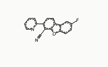 N#Cc1c(-c2ccccn2)ccc2c1oc1ccc(F)cc12